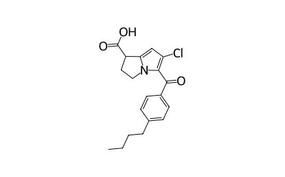 CCCCc1ccc(C(=O)c2c(Cl)cc3n2CCC3C(=O)O)cc1